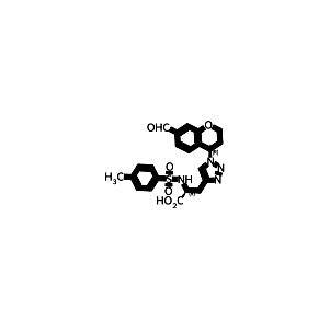 Cc1ccc(S(=O)(=O)N[C@H](Cc2cn([C@@H]3CCOc4cc(C=O)ccc43)nn2)C(=O)O)cc1